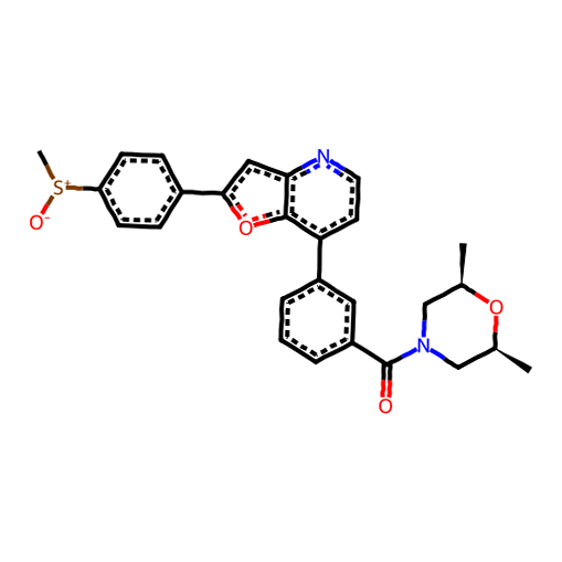 C[C@@H]1CN(C(=O)c2cccc(-c3ccnc4cc(-c5ccc([S+](C)[O-])cc5)oc34)c2)C[C@H](C)O1